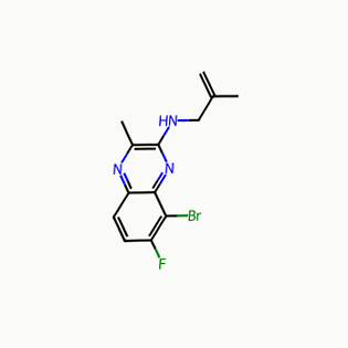 C=C(C)CNc1nc2c(Br)c(F)ccc2nc1C